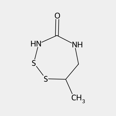 CC1CNC(=O)NSS1